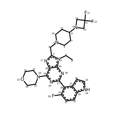 CCn1c(CN2CCC(N3CC(F)(F)C3)CC2)nc2c(N3CCOCC3)nc(-c3c(F)ccc4[nH]ccc34)nc21